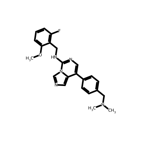 COc1cccc(F)c1CNc1ncc(-c2ccc(CN(C)C)cc2)c2cncn12